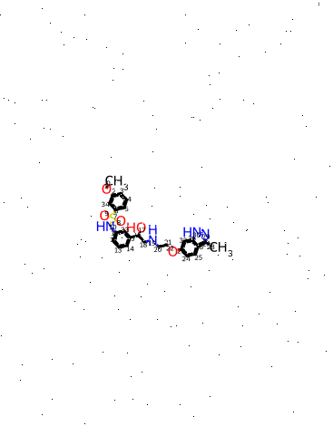 COc1cccc(S(=O)(=O)Nc2cccc([C@@H](O)CNCCOc3ccc4c(C)n[nH]c4c3)c2)c1